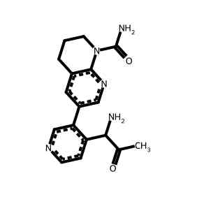 CC(=O)C(N)c1ccncc1-c1cnc2c(c1)CCCN2C(N)=O